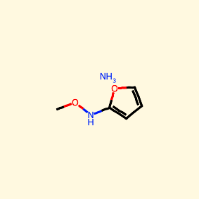 CONc1ccco1.N